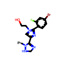 CC(C)N1NCN=C1c1cn(CCO)c(-c2ccc(Br)cc2F)n1